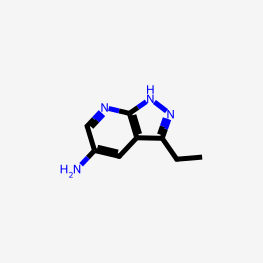 CCc1n[nH]c2ncc(N)cc12